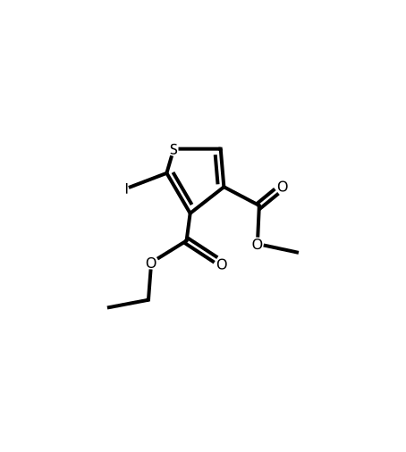 CCOC(=O)c1c(C(=O)OC)csc1I